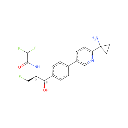 NC1(c2ccc(-c3ccc([C@@H](O)[C@@H](CF)NC(=O)C(F)F)cc3)cn2)CC1